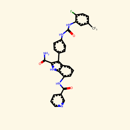 NC(=O)c1[nH]c2c(NC(=O)c3cccnc3)cccc2c1-c1ccc(NC(=O)Nc2cc(C(F)(F)F)ccc2F)cc1